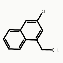 C[CH]c1cc(Cl)cc2ccccc12